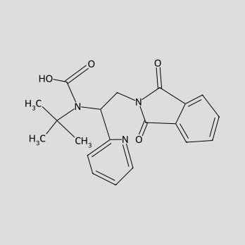 CC(C)(C)N(C(=O)O)C(CN1C(=O)c2ccccc2C1=O)c1ccccn1